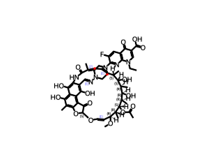 CCn1cc(C(=O)O)c(=O)c2cc(F)c(N3CCN(/N=C/c4c5c(O)c6c(O)c(C)c7c(c6c4O)C(=O)[C@@](C)(O/C=C/[C@H](OC)[C@@H](C)[C@@H](OC(C)=O)[C@H](C)[C@H](O)[C@H](C)[C@@H](O)[C@@H](C)/C=C/C=C(/C)C(=O)N5)O7)CC3)nc21